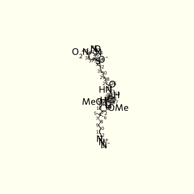 COc1cc(C(C)(C)CCCCCCN=[N+]=[N-])cc(OC)c1[C@H]1C=C(CNC(=O)CCCCCCC[S+]([O-])c2ccc([N+](=O)[O-])c3nonc23)[C@H]2C[C@@H]1C2(C)C